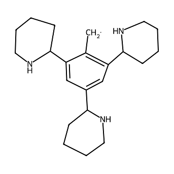 [CH2]c1c(C2CCCCN2)cc(C2CCCCN2)cc1C1CCCCN1